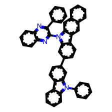 c1ccc(-c2nc3ccccc3nc2-n2c3cc(-c4ccc5c6ccccc6n(-c6ccccc6)c5c4)ccc3c3cc4ccccc4cc32)cc1